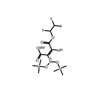 CCCC(C(=O)OC(F)C(F)F)=C(C(=O)OC)[SiH](O[Si](C)(C)C)O[Si](C)(C)C